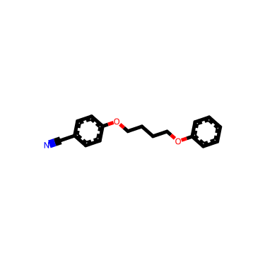 N#Cc1ccc(OCCCCOc2ccccc2)cc1